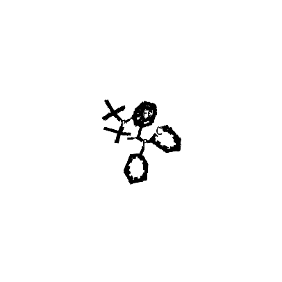 C[C@H](P(c1ccccc1)c1ccccc1)[C]12[CH]3[CH]4[CH]5[C@]1(P(C(C)(C)C)C(C)(C)C)[Fe]43521678[CH]2[CH]1[CH]6[CH]7[CH]28